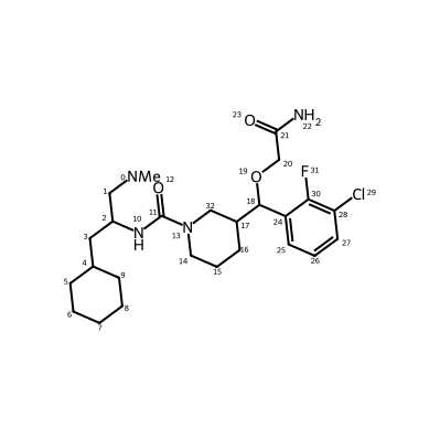 CNCC(CC1CCCCC1)NC(=O)N1CCCC(C(OCC(N)=O)c2cccc(Cl)c2F)C1